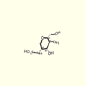 O=S(=O)(O)N[C@@H]1[CH]O[C@H](CO)[C@@H](O)[C@@H]1O